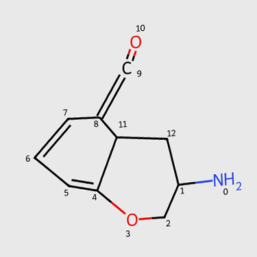 NC1COC2=CC=CC(=C=O)C2C1